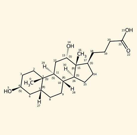 C[C@]12CC[C@H](O)C[C@H]1CC[C@@H]1[C@@H]2C[C@H](O)[C@]2(C)[C@@H](CCCC(=O)O)CC[C@@H]12